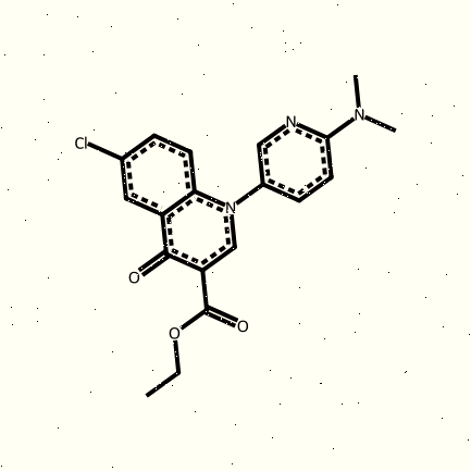 CCOC(=O)c1cn(-c2ccc(N(C)C)nc2)c2ccc(Cl)cc2c1=O